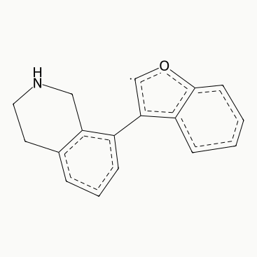 [c]1oc2ccccc2c1-c1cccc2c1CNCC2